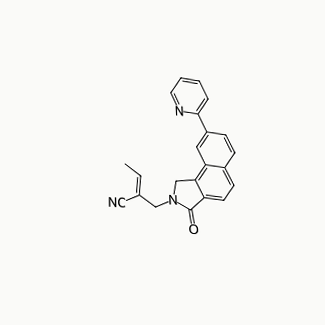 CC=C(C#N)CN1Cc2c(ccc3ccc(-c4ccccn4)cc23)C1=O